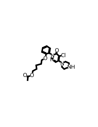 CC(=O)OCCCCCOc1ccccc1-n1ncc(N2CCNCC2)c(Cl)c1=O